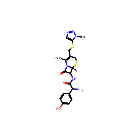 Cn1nncc1SCC1=C(C(=O)O)N2C(=O)C(NC(=O)C(N)c3ccc(O)cc3)[C@H]2SC1